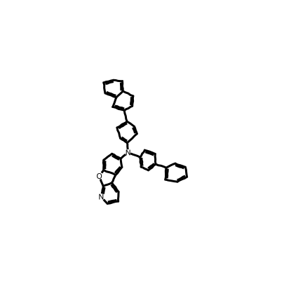 c1ccc(-c2ccc(N(c3ccc(-c4ccc5ccccc5c4)cc3)c3ccc4oc5ncccc5c4c3)cc2)cc1